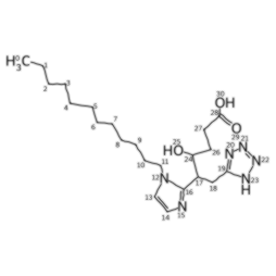 CCCCCCCCCCCCn1ccnc1C(Cc1nnn[nH]1)C(O)CCC(=O)O